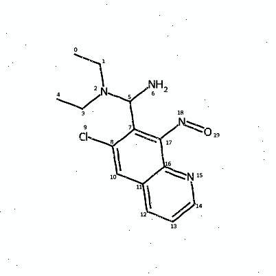 CCN(CC)C(N)c1c(Cl)cc2cccnc2c1N=O